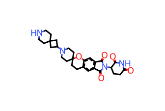 O=C1CCC(N2C(=O)c3cc4c(cc3C2=O)OC2(CC4)CCN(C3CC4(CCNCC4)C3)CC2)C(=O)N1